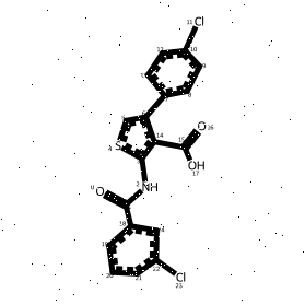 O=C(Nc1scc(-c2ccc(Cl)cc2)c1C(=O)O)c1cccc(Cl)c1